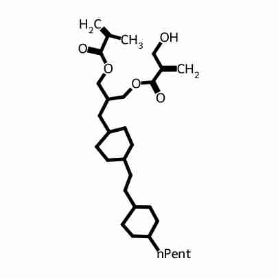 C=C(C)C(=O)OCC(COC(=O)C(=C)CO)CC1CCC(CCC2CCC(CCCCC)CC2)CC1